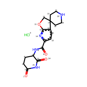 Cl.O=C1CCC(NC(=O)c2ccc3c(n2)OCC32CCNCC2)C(=O)N1